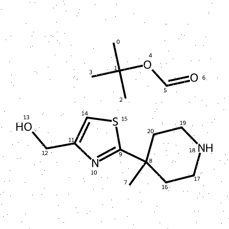 CC(C)(C)OC=O.CC1(c2nc(CO)cs2)CCNCC1